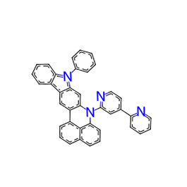 c1ccc(-n2c3ccccc3c3cc4c(cc32)N(c2cc(-c3ccccn3)ccn2)c2cccc3cccc-4c23)cc1